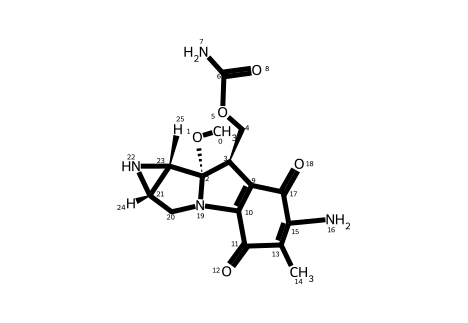 CO[C@]12[C@@H](COC(N)=O)C3=C(C(=O)C(C)=C(N)C3=O)N1C[C@@H]1N[C@@H]12